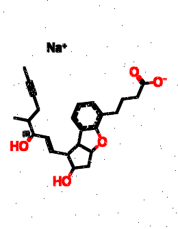 CC#CCC(C)[C@H](O)C=CC1C(O)CC2Oc3c(CCCC(=O)[O-])cccc3C21.[Na+]